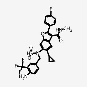 CNC(=O)c1c(-c2ccc(F)cc2)oc2cc(N(Cc3ccc(N)c(C(F)(F)F)c3)[SH](=O)=O)c(C3CC3)cc12